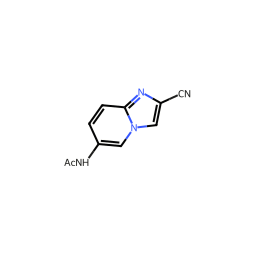 CC(=O)Nc1ccc2nc(C#N)cn2c1